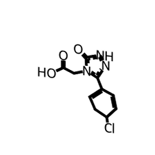 O=C(O)Cn1c(C2=CCC(Cl)C=C2)n[nH]c1=O